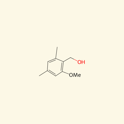 COc1cc(C)cc(C)c1CO